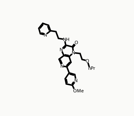 CCCOCCn1c(=O)c(NCCc2ccccn2)nc2cnc(-c3ccc(OC)nc3)cc21